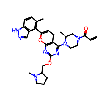 C=CC(=O)N1CCN(c2nc(OCC3CCCN3C)nc3c2CC=C(c2c(C)ccc4[nH]ncc24)O3)[C@@H](C)C1